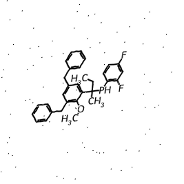 CCC(C)(Pc1ccc(F)cc1F)c1cc(Cc2ccccc2)cc(Cc2ccccc2)c1OC